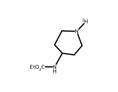 [2H]N1CCC(NC(=O)OCC)CC1